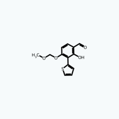 COCOc1ccc(C=O)c(O)c1-c1cccs1